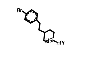 CCC[SiH]1CCC(CCc2ccc(Br)cc2)CC1